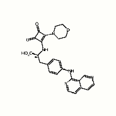 O=C(O)[C@H](Cc1ccc(Nc2nccc3ccncc23)cc1)Nc1c(N2CCOCC2)c(=O)c1=O